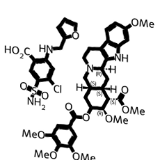 COC(=O)[C@H]1[C@H]2C[C@@H]3c4[nH]c5cc(OC)ccc5c4CCN3C[C@H]2CC(OC(=O)c2cc(OC)c(OC)c(OC)c2)[C@@H]1OC.NS(=O)(=O)c1cc(C(=O)O)c(NCc2ccco2)cc1Cl